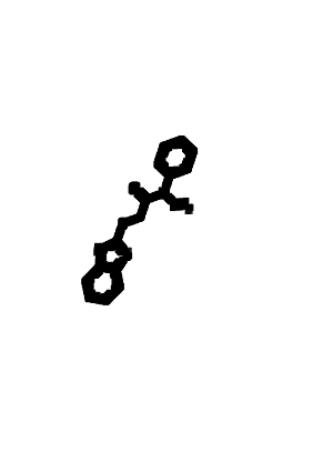 NN(C(=O)CSc1nc2ccccc2s1)c1ccccc1